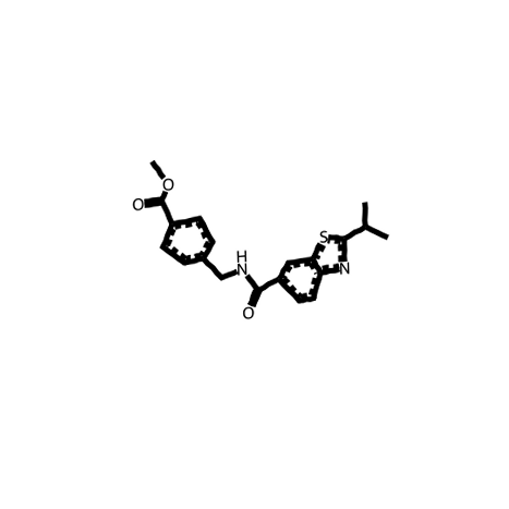 COC(=O)c1ccc(CNC(=O)c2ccc3nc(C(C)C)sc3c2)cc1